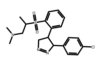 CC(CN(C)C)S(=O)(=O)c1ccccc1C1CN=NC1c1ccc(Cl)cc1